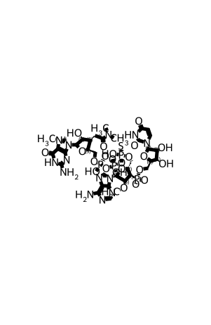 CO[C@@H]1[C@H](P(=O)([O-])OC[C@H]2O[C@@H](n3ccc(=O)[nH]c3=O)[C@H](O)[C@@H]2O)[C@@H](COP(O)(=S)OP(=O)(O)OP(=O)(O)OC[C@H]2OC(n3c[n+](C)c4c(=O)[nH]c(N)nc43)[C@H](O)[C@@H]2CC(=O)N(C)C)O[C@H]1n1cnc2c(N)ncnc21